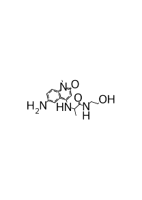 CC(Nc1cc(=O)n(C)c2ccc(N)cc12)C(=O)NCCO